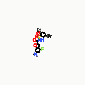 CCOc1ccc(C(C)C)cc1[S+]([O-])NC(=O)c1cc2c(F)cc(N(C)C)cc2o1